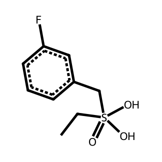 CCS(=O)(O)(O)Cc1cccc(F)c1